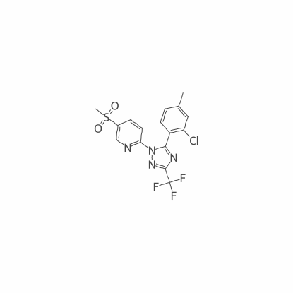 Cc1ccc(-c2nc(C(F)(F)F)nn2-c2ccc(S(C)(=O)=O)cn2)c(Cl)c1